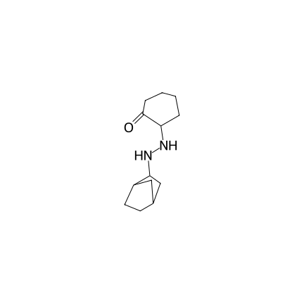 O=C1CCCCC1NNC1CC2CCC1C2